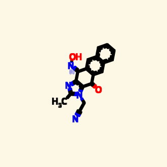 Cc1nc2c(n1CC#N)C(=O)c1cc3ccccc3cc1/C2=N\O